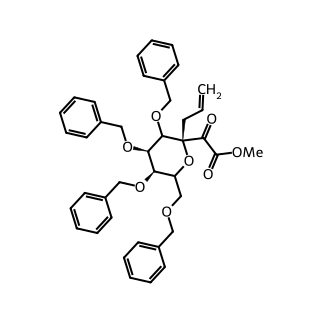 C=CC[C@@]1(C(=O)C(=O)OC)OC(COCc2ccccc2)[C@@H](OCc2ccccc2)[C@@H](OCc2ccccc2)C1OCc1ccccc1